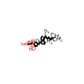 C=C1/C(=C\C=C2CCC[C@@]3(C)C2CC[C@@H]3[C@H](C)CCCC(C)C)C[C@@H](O)C(OCCO)[C@H]1O